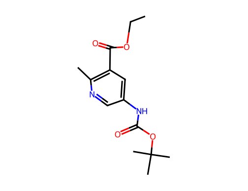 CCOC(=O)c1cc(NC(=O)OC(C)(C)C)cnc1C